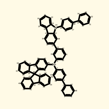 c1ccc(-c2ccc(N(c3cccc(-c4ccc5c6ccccc6n(-c6ccc(-c7ccccc7)cc6)c5c4)c3)c3ccc4c(c3)C3(c5ccccc5-c5ccccc53)c3ccccc3-4)cc2)cc1